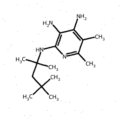 Cc1nc(NC(C)(C)CC(C)(C)C)c(N)c(N)c1C